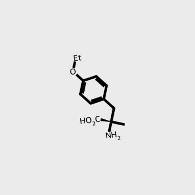 CCOc1ccc(C[C@](C)(N)C(=O)O)cc1